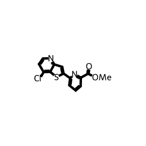 COC(=O)c1cccc(-c2cc3nccc(Cl)c3s2)n1